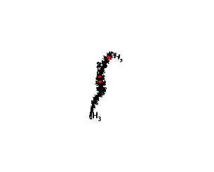 CCCCCCCCCCCCOc1ccc(-c2cnc(-c3ccc(OCC(F)CCCCCCC)cc3)nc2)cc1